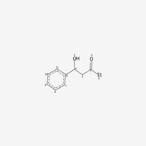 CCC(=O)CC(O)c1ccccc1